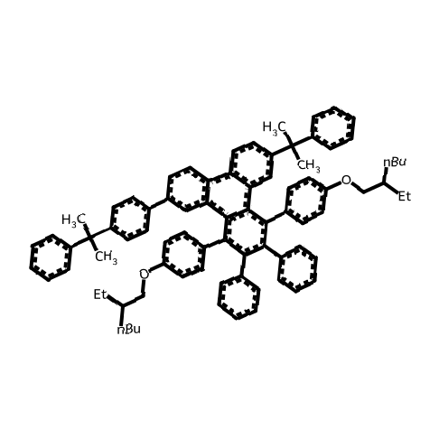 CCCCC(CC)COc1ccc(-c2c(-c3ccccc3)c(-c3ccccc3)c(-c3ccc(OCC(CC)CCCC)cc3)c3c4cc(C(C)(C)c5ccccc5)ccc4c4ccc(-c5ccc(C(C)(C)c6ccccc6)cc5)cc4c23)cc1